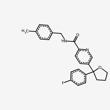 Cc1ccc(CNC(=O)c2ccc(C3(c4ccc(F)cc4)CCCO3)cn2)cc1